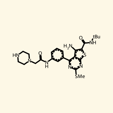 CSc1nc(-c2cccc(NC(=O)CN3CCNCC3)c2)c2c(N)c(C(=O)NC(C)(C)C)sc2n1